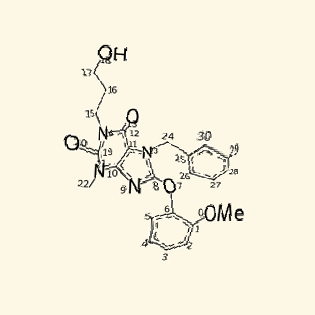 COc1ccccc1Oc1nc2c(c(=O)n(CCCO)c(=O)n2C)n1Cc1ccccc1